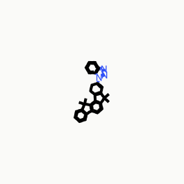 CC1(C)C2=C(CCC(n3nnc4ccccc43)=C2)c2c1ccc1c2C(C)(C)c2ccccc2-1